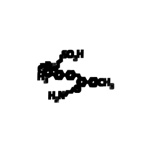 CCCCC1(CCCCS(=O)(=O)O)c2cc(C)ccc2-c2ccc(-c3ccc(Cc4cc(OCCCCN)cc(-c5ccc(C)cc5)c4)cc3)cc21